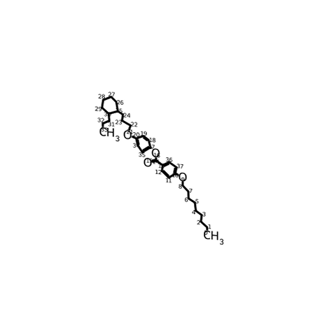 CCCCCCCCCOc1ccc(C(=O)Oc2ccc(OCCCC3CCCCC3CCC)cc2)cc1